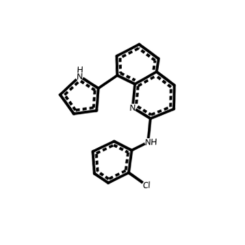 Clc1ccccc1Nc1ccc2cccc(-c3ccc[nH]3)c2n1